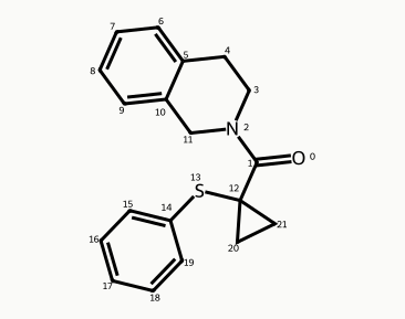 O=C(N1CCc2ccccc2C1)C1(Sc2ccccc2)CC1